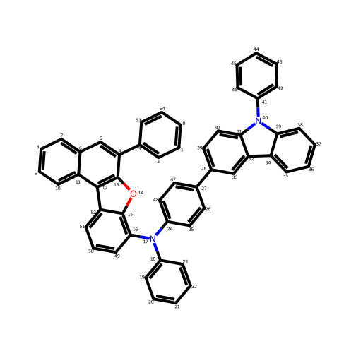 c1ccc(-c2cc3ccccc3c3c2oc2c(N(c4ccccc4)c4ccc(-c5ccc6c(c5)c5ccccc5n6-c5ccccc5)cc4)cccc23)cc1